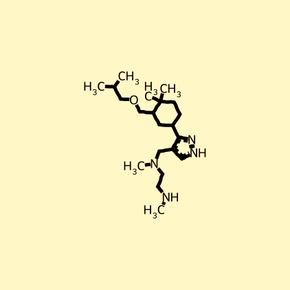 CNCCN(C)Cc1c[nH]nc1C1CCC(C)(C)C(COCC(C)C)C1